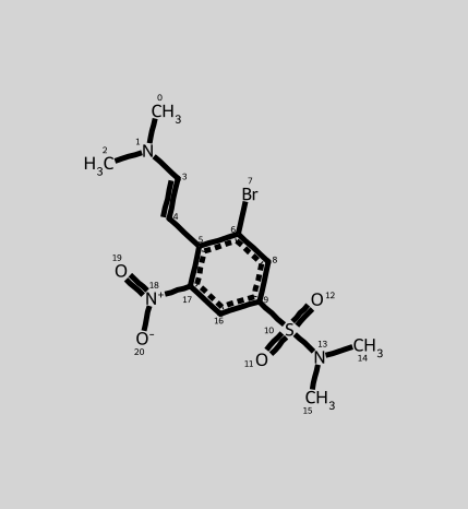 CN(C)C=Cc1c(Br)cc(S(=O)(=O)N(C)C)cc1[N+](=O)[O-]